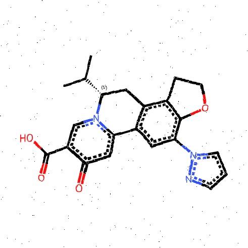 CC(C)[C@@H]1Cc2c(cc(-n3cccn3)c3c2CCO3)-c2cc(=O)c(C(=O)O)cn21